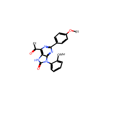 CCOc1ccc(-c2nc(C(=O)CC)c3[nH]c(=O)n(-c4ccccc4OC)c3n2)cc1